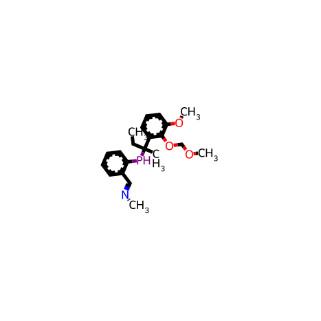 CCC(C)(Pc1ccccc1/C=N/C)c1cccc(OC)c1OCOC